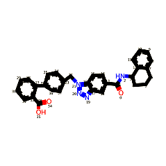 O=C(NC1CCCc2ccccc21)c1ccc2c(c1)nnn2Cc1ccc(-c2ccccc2C(=O)O)cc1